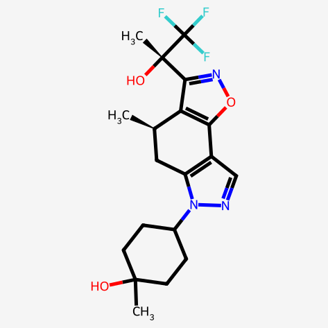 C[C@@H]1Cc2c(cnn2C2CCC(C)(O)CC2)-c2onc([C@](C)(O)C(F)(F)F)c21